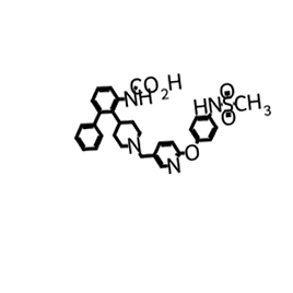 CS(=O)(=O)Nc1ccc(Oc2ccc(CN3CCC(c4c(NC(=O)O)cccc4-c4ccccc4)CC3)cn2)cc1